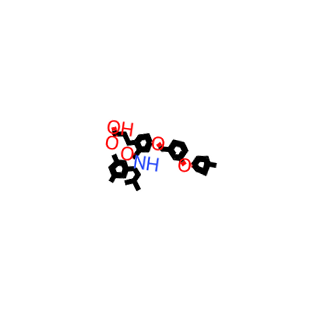 Cc1ccc(Oc2cccc(COc3ccc(CCC(=O)O)c(C(=O)NC(CC(C)C)c4cc(C)cc(C)c4)c3)c2)cc1